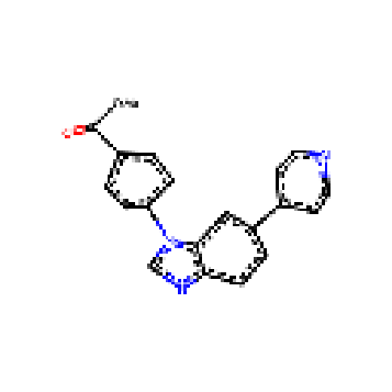 COC(=O)c1ccc(-n2cnc3ccc(-c4ccncc4)cc32)cc1